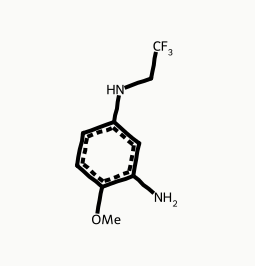 COc1ccc(NCC(F)(F)F)cc1N